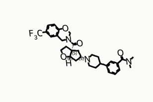 CN(C)C(=O)c1cccc(C2CCN([C@@H]3C[C@H]4OCC[C@@]4(C(=O)N4COc5ccc(C(F)(F)F)cc5C4)C3)CC2)c1